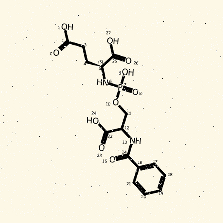 O=C(O)CC[C@H](NP(=O)(O)OCC(NC(=O)c1ccccc1)C(=O)O)C(=O)O